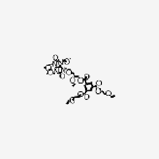 C=COCCOC(=O)c1cc(C(=O)OCCOC=C)cc(C(=O)OCC(COCN2C(=O)N(COC)C3C2N(COC)C(=O)N3COC)OC=C)c1